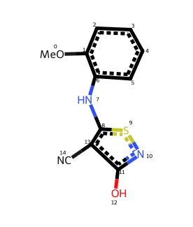 COc1ccccc1Nc1snc(O)c1C#N